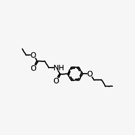 CCCCOc1ccc(C(=O)NCCC(=O)OCC)cc1